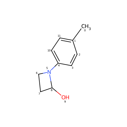 Cc1ccc(N2CCC2O)cc1